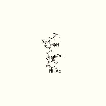 C=CCN1C(=S)SC(CCC2SC3C=C(NC(C)=O)CCC3N2CCCCCCCC)C1O